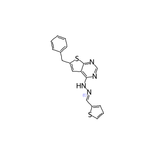 C(=N\Nc1ncnc2sc(Cc3ccccc3)cc12)/c1cccs1